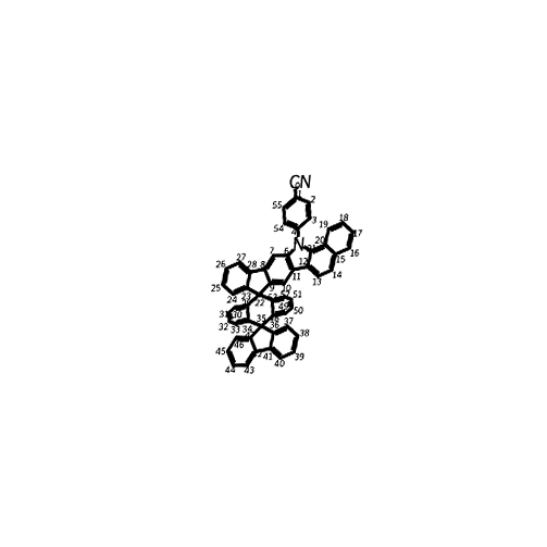 N#Cc1ccc(-n2c3cc4c(cc3c3ccc5ccccc5c32)C2(c3ccccc3-4)c3ccccc3C3(c4ccccc4-c4ccccc43)c3ccccc32)cc1